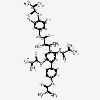 C=C(C)C(=O)Oc1ccc(-c2cc(OC(=O)C(=C)C)c(/C(C)=C(\C)C(=O)Oc3cc(F)c(OC(=O)C(=C)C)c(F)c3)cc2OC(=O)C(=C)C)cc1